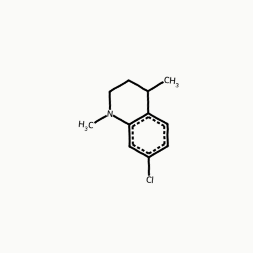 CC1CCN(C)c2cc(Cl)ccc21